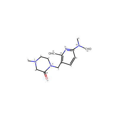 CN1CCN(Cc2ccc(N(C)C=O)nc2C=O)C(=O)C1